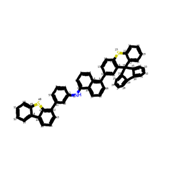 c1cc(Nc2cccc3c(-c4ccc5c(c4)C4(c6ccccc6S5)c5ccccc5-c5ccccc54)cccc23)cc(-c2cccc3c2sc2ccccc23)c1